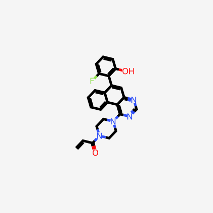 C=CC(=O)N1CCN(c2ncnc3cc(-c4c(O)cccc4F)c4ccccc4c23)CC1